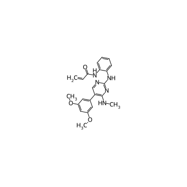 C=CC(=O)Nc1ccccc1Nc1ncc(-c2cc(OC)cc(OC)c2)c(NC)n1